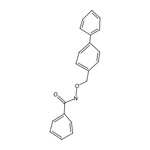 O=C([N]OCc1ccc(-c2ccccc2)cc1)c1ccccc1